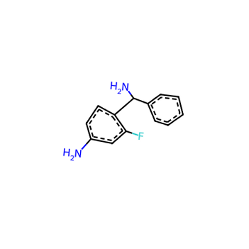 Nc1ccc(C(N)c2ccccc2)c(F)c1